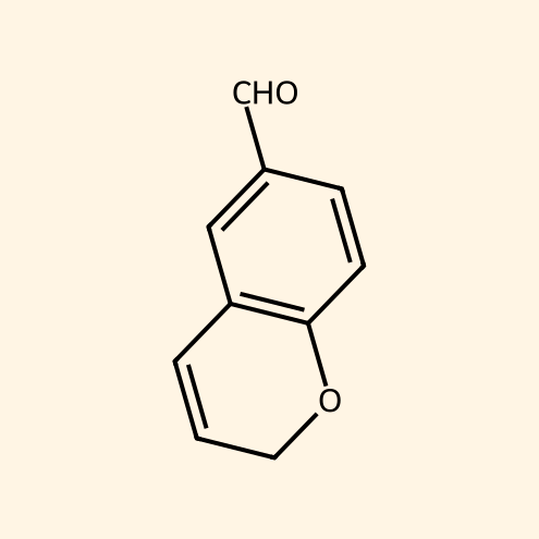 O=Cc1ccc2c(c1)C=CCO2